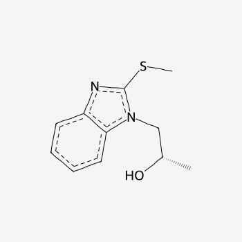 CSc1nc2ccccc2n1C[C@H](C)O